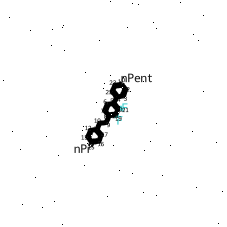 CCCCCc1ccc(-c2ccc(CCc3ccc(CCC)cc3)c(F)c2F)cc1